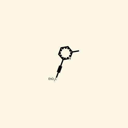 CCOC(=O)C#Cc1cccc(C)n1